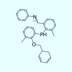 Cc1cccc(Pc2c(C)cccc2/C=N/c2ccccc2)c1OCC1C=CC=CC1